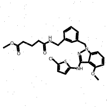 COC(=O)CCCC(=O)NCc1cccc(Cn2nc(Nc3ccc(Cl)s3)c3c(OC)cccc32)c1